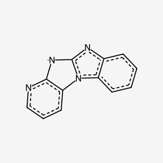 c1cnc2c(c1)-n1c(nc3ccccc31)[N]2